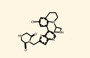 O=C1CNCC(=O)N1Cc1cc2nccc(-c3cc(Cl)cc4c3N(C3CNC3)CCC4)c2s1